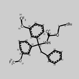 CC(C)(C)COC(=O)NC(Cc1ccccc1)(c1cccc(OC(F)(F)F)c1)c1cccc(OC(F)(F)F)c1